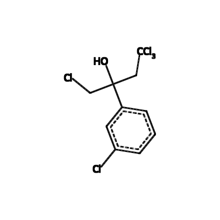 OC(CCl)(CC(Cl)(Cl)Cl)c1cccc(Cl)c1